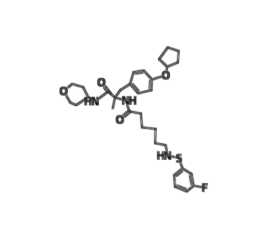 CC(Cc1ccc(OC2CCCC2)cc1)(NC(=O)CCCCCNSc1cccc(F)c1)C(=O)NC1CCOCC1